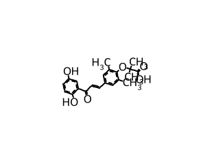 Cc1cc(C=CC(=O)c2cc(O)ccc2O)cc(C)c1OC(C)(C)C(=O)O